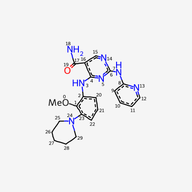 COc1c(Nc2nc(Nc3ccccn3)ncc2C(N)=O)cccc1N1CCCCC1